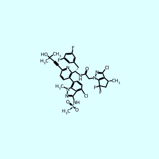 C[C@H]1CC(F)(F)c2c1c(Cl)nn2CC(=O)N[C@@H](Cc1cc(F)cc(F)c1)c1nc(C#CC(C)(C)O)ccc1-c1ccc(Cl)c2c(NS(C)(=O)=O)nn(C)c12